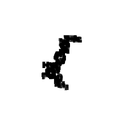 CC(=O)Nc1cnc(N2CCN(c3nc4c(C(N)=O)cc(F)cc4[nH]3)CC2)cn1